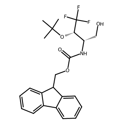 CC(C)(C)O[C@@H]([C@H](CO)NC(=O)OCC1c2ccccc2-c2ccccc21)C(F)(F)F